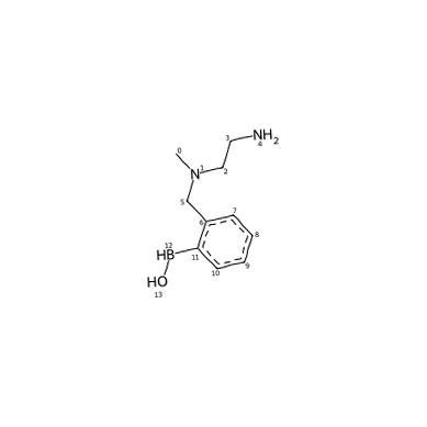 CN(CCN)Cc1ccccc1BO